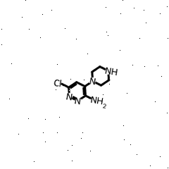 Nc1nnc(Cl)cc1N1CCNCC1